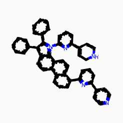 C1=CC(c2cccc(-n3c(-c4ccccc4)c(-c4ccccc4)c4ccc5c6cccc(-c7cccc(-c8ccncc8)n7)c6ccc5c43)n2)=CCN1